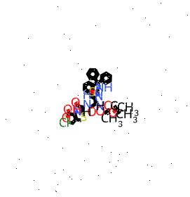 C[C@H](O/N=C(\C(=O)N[C@@H]1C(=O)N2C(C(=O)O)=C(CCl)CS[C@@H]12)c1csc(NC(c2ccccc2)(c2ccccc2)c2ccccc2)n1)C(=O)OC(C)(C)C